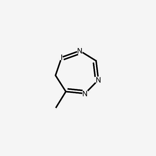 CC1=NN=CN=IC1